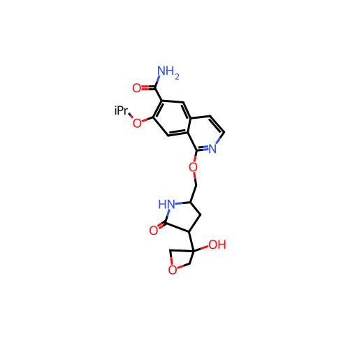 CC(C)Oc1cc2c(OCC3CC(C4(O)COC4)C(=O)N3)nccc2cc1C(N)=O